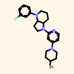 CC(C)C1CCN(c2ccnc(N3CCC4C3CCCN4c3cccc(F)c3)c2)CC1